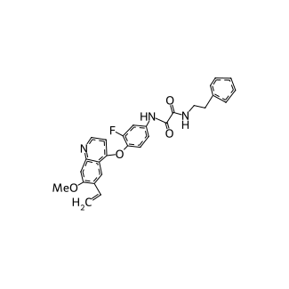 C=Cc1cc2c(Oc3ccc(NC(=O)C(=O)NCCc4ccccc4)cc3F)ccnc2cc1OC